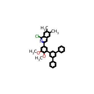 COc1cc(-c2cc3cc(C)c(C)cc3c(Cl)n2)cc(-c2cc(-c3ccccc3)cc(-c3ccccc3)c2)c1OC